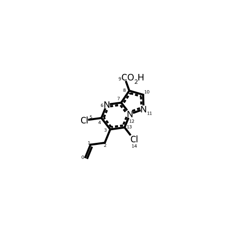 C=CCc1c(Cl)nc2c(C(=O)O)cnn2c1Cl